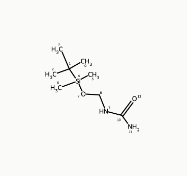 CC(C)(C)[Si](C)(C)OCNC(N)=O